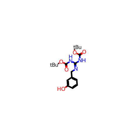 CC(C)(C)OC(=O)NC(=NCc1cccc(O)c1)NC(=O)OC(C)(C)C